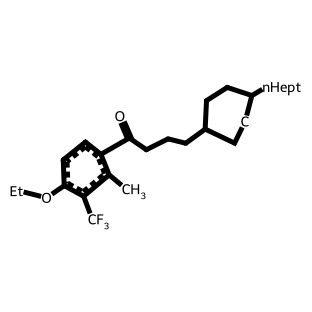 CCCCCCCC1CCC(CCCC(=O)c2ccc(OCC)c(C(F)(F)F)c2C)CC1